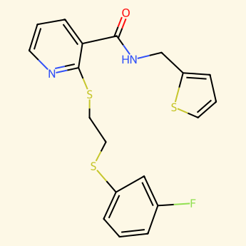 O=C(NCc1cccs1)c1cccnc1SCCSc1cccc(F)c1